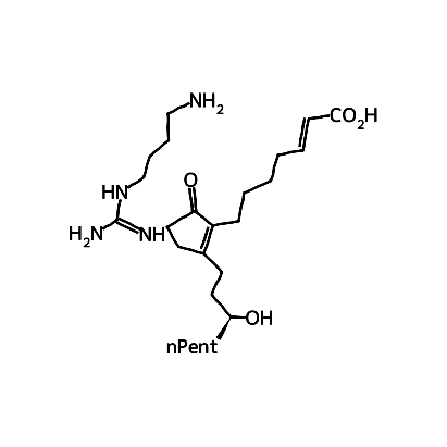 CCCCC[C@H](O)CCC1=C(CCCCC=CC(=O)O)C(=O)CC1.N=C(N)NCCCCN